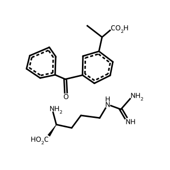 CC(C(=O)O)c1cccc(C(=O)c2ccccc2)c1.N=C(N)NCCC[C@H](N)C(=O)O